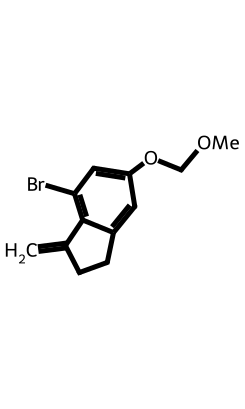 C=C1CCc2cc(OCOC)cc(Br)c21